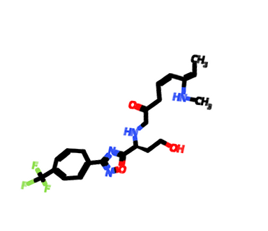 C/C=C(\C=C/CC(=O)CN[C@@H](CCO)c1nc(C2=CC=C(C(F)(F)F)C=CC2)no1)NC